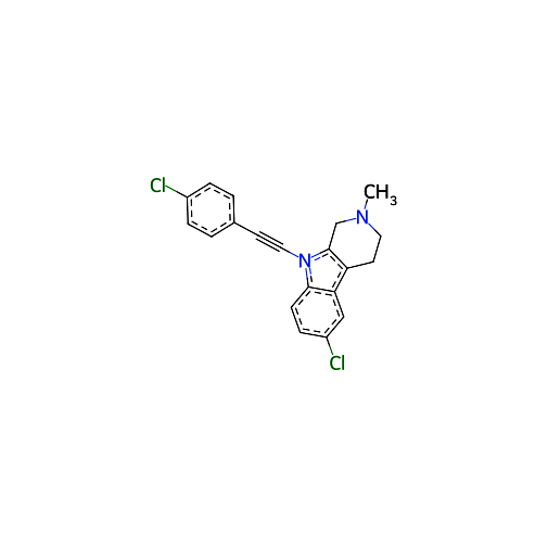 CN1CCc2c(n(C#Cc3ccc(Cl)cc3)c3ccc(Cl)cc23)C1